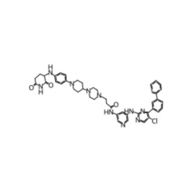 O=C1CCC(Nc2ccc(N3CCC(N4CCN(CCC(=O)Nc5cncc(Nc6ncc(Cl)c(-c7cccc(-c8ccccc8)c7)n6)c5)CC4)CC3)cc2)C(=O)N1